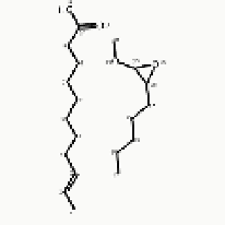 C/C=C/CCCCCCCC(=O)O.CCCCCC1OC1OC